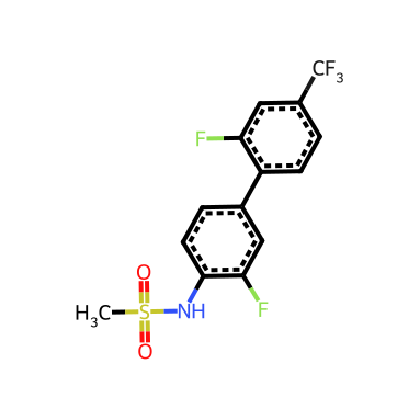 CS(=O)(=O)Nc1ccc(-c2ccc(C(F)(F)F)cc2F)cc1F